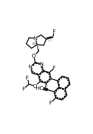 C#Cc1c(F)ccc2cccc(-c3c(F)c(OC(F)F)c4cnc(OC[C@@]56CCCN5C/C(=C\F)C6)nc4c3F)c12